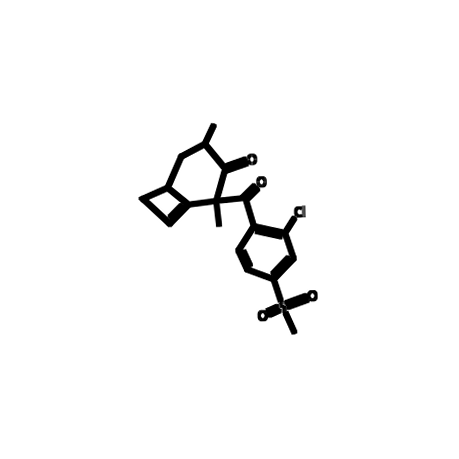 CC1CC2CC=C2C(C)(C(=O)c2ccc(S(C)(=O)=O)cc2Cl)C1=O